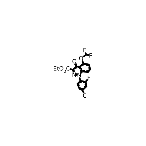 CCOC(=O)c1nn(-c2ccc(Cl)cc2F)c2cccc(OC(F)F)c2c1=O